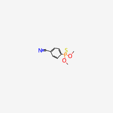 COP(=S)(OC)c1ccc(C#N)cc1